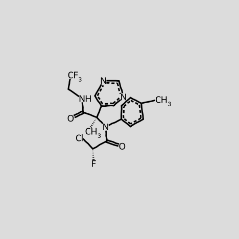 Cc1ccc(N(C(=O)[C@H](F)Cl)[C@@](C)(C(=O)NCC(F)(F)F)c2cncnc2)cc1